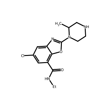 CCNC(=O)c1cc(Cl)cc2nc(N3CCNCC3C)oc12